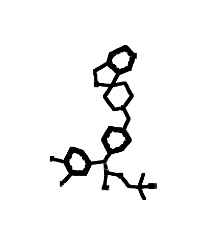 CC(=O)N(OCC(C)(C)O)[C@@H](c1ccc(CN2CCC3(CC2)OCc2ccncc23)cc1)c1ccc(F)c(F)c1